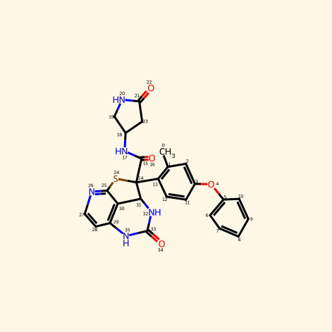 Cc1cc(Oc2ccccc2)ccc1C1(C(=O)NC2CNC(=O)C2)Sc2nccc3c2C1NC(=O)N3